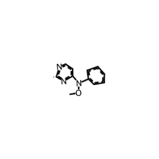 CON(c1ccccc1)c1ccn[c]n1